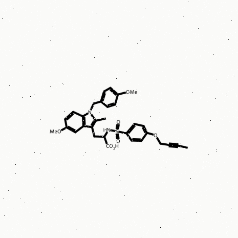 CC#CCOc1ccc(S(=O)(=O)NC(Cc2c(C)n(Cc3ccc(OC)cc3)c3ccc(OC)cc23)C(=O)O)cc1